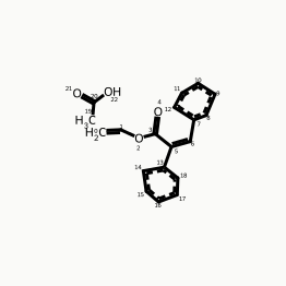 C=COC(=O)C(=Cc1ccccc1)c1ccccc1.CC(=O)O